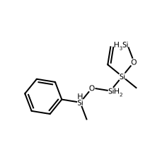 C=C[Si](C)(O[SiH3])[SiH2]O[SiH](C)c1ccccc1